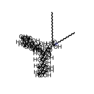 CCCCCCCCCCCCC/C=C/[C@@H](O)[C@H](CO[C@@H]1OC(CO)[C@@H](O[C@@H]2OC(CO[C@@H]3OC(CO)[C@@H](O[C@@H]4OC(CO)[C@H](O)[C@H](O[C@]5(C(=O)O)CC(O)[C@@H](NC(C)=O)C([C@H](O)[C@H](O)CO)O5)C4O)[C@H](O)C3NC(C)=O)[C@H](O)[C@H](O[C@H]3OC(CO)[C@H](O)[C@H](O[C@@H]4OC(CO)[C@H](O)[C@H](O[C@H]5OC(CO)[C@H](O)[C@H](O)C5NC(C)=O)C4NC(C)=O)C3O)C2O)[C@H](O)C1O)NC(=O)CCCCCCCCCCCCCCCCCCC